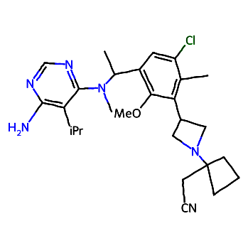 COc1c(C(C)N(C)c2ncnc(N)c2C(C)C)cc(Cl)c(C)c1C1CN(C2(CC#N)CCC2)C1